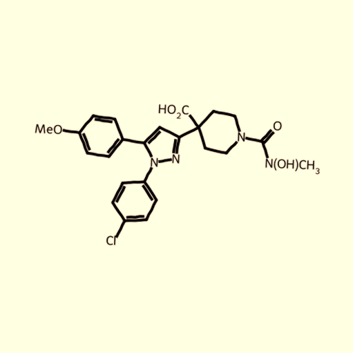 COc1ccc(-c2cc(C3(C(=O)O)CCN(C(=O)N(C)O)CC3)nn2-c2ccc(Cl)cc2)cc1